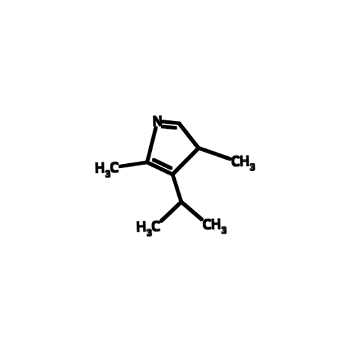 CC1=C(C(C)C)C(C)C=N1